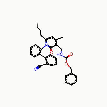 CCCCc1cc(C)c(CNC(=O)OCc2ccccc2)c(=O)n1-c1ccccc1-c1ccccc1C#N